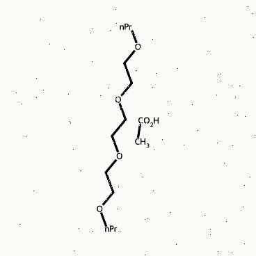 CC(=O)O.CCCOCCOCCOCCOCCC